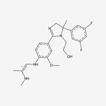 CN/C(C)=C\Nc1ccc(C2=NCC(C)(c3cc(F)cc(F)c3)N2CCO)cc1OC